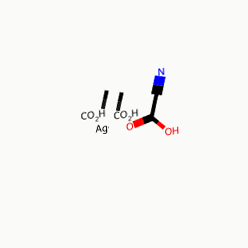 CC(=O)O.CC(=O)O.N#CC(=O)O.[Ag]